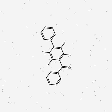 Cc1c(C)c(-c2ccccc2)c(C)c(C)c1C(=O)c1ccccc1